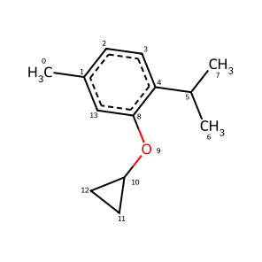 Cc1ccc(C(C)C)c(OC2CC2)c1